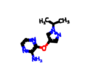 CC(C)n1cc(Oc2nccnc2N)cn1